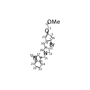 COCCOc1ccc(Br)c(CC2CCN(CC3CN(C)c4ccccc43)C2)c1